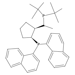 CC([C@@H]1CCC[C@@H]1P(c1cccc2ccccc12)c1cccc2ccccc12)P(C(C)(C)C)C(C)(C)C